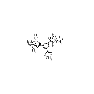 COC(=O)c1cc(B2OC(C)(C)C(C)(C)O2)cc(C(=O)NC(C)(C)C)c1